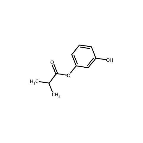 CC(C)C(=O)Oc1cccc(O)c1